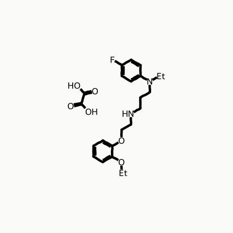 CCOc1ccccc1OCCNCCCN(CC)c1ccc(F)cc1.O=C(O)C(=O)O